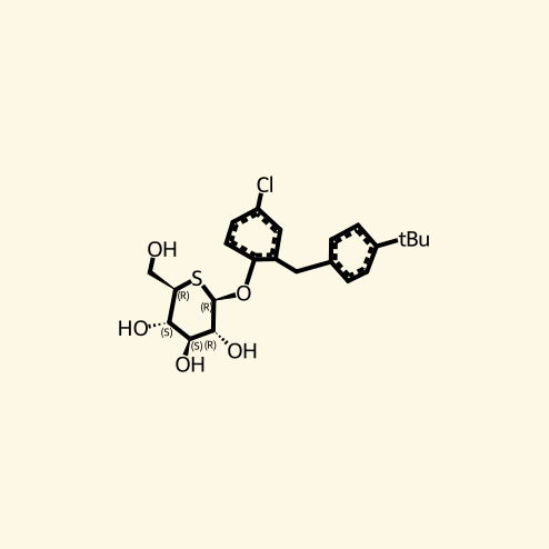 CC(C)(C)c1ccc(Cc2cc(Cl)ccc2O[C@@H]2S[C@H](CO)[C@@H](O)[C@H](O)[C@H]2O)cc1